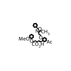 COc1ccccc1OC(CCC=Cc1cc(C(C)=O)ccc1OCCc1nc(-c2ccccc2)oc1C)C(=O)O